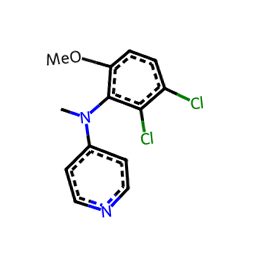 COc1ccc(Cl)c(Cl)c1N(C)c1ccncc1